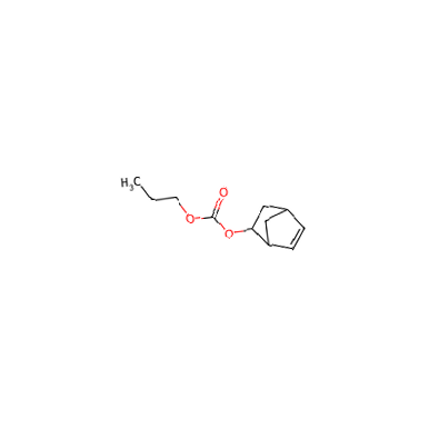 CCCOC(=O)OC1CC2C=CC1C2